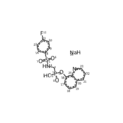 O=P(O)(CNS(=O)(=O)c1ccc(F)cc1)Oc1cccc2cccnc12.[NaH]